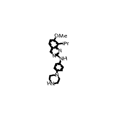 COc1ccc2cnc(Nc3ccc(N4CCNCC4)cc3)nc2c1C(C)C